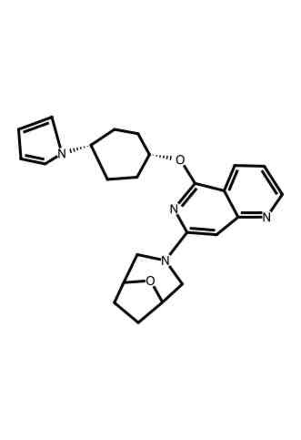 c1cnc2cc(N3CC4CCC(C3)O4)nc(O[C@H]3CC[C@@H](n4cccc4)CC3)c2c1